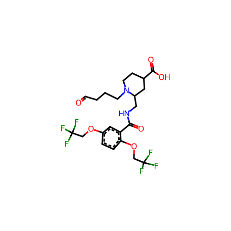 O=CCCCN1CCC(C(=O)O)CC1CNC(=O)c1cc(OCC(F)(F)F)ccc1OCC(F)(F)F